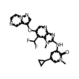 Cn1cc(C2CC2)cc(Nc2nc3ncc(Oc4cnn5ccncc45)c(C(F)F)c3n2C)c1=O